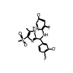 Cc1[nH]c(C(Nc2ncc(Cl)cc2F)c2ccc(F)c(Cl)c2)nc1S(C)(=O)=O